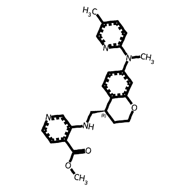 COC(=O)c1ccncc1NC[C@@H]1CCOc2cc(N(C)c3ccc(C)cn3)ccc21